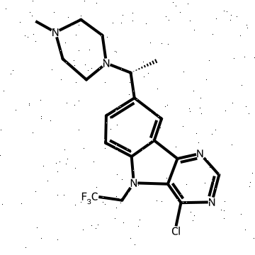 C[C@H](c1ccc2c(c1)c1ncnc(Cl)c1n2CC(F)(F)F)N1CCN(C)CC1